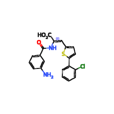 Nc1cccc(C(=O)N/C(=C\c2ccc(-c3ccccc3Cl)s2)C(=O)O)c1